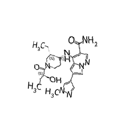 CC[C@H]1CN(C(=O)[C@@H](O)CC)CC[C@H]1Nc1c(C(N)=O)cnn2cc(-c3cnn(C)c3)cc12